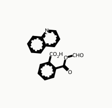 O=COC(=O)c1ccccc1C(=O)O.c1ccc2ncccc2c1